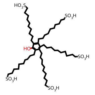 O=S(=O)(O)CCCCCCCCCCc1c(O)c(CCCCCCCCCCS(=O)(=O)O)c(CCCCCCCCCCS(=O)(=O)O)c(CCCCCCCCCCS(=O)(=O)O)c1CCCCCCCCCCS(=O)(=O)O